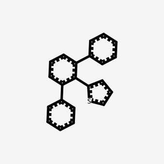 c1ccc(-c2cccc(-c3ccccc3)c2-c2cccs2)cc1